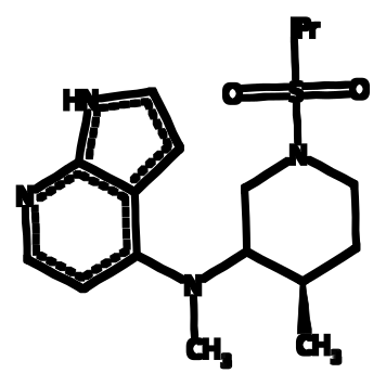 CC(C)S(=O)(=O)N1CC[C@@H](C)C(N(C)c2ccnc3[nH]ccc23)C1